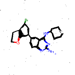 Nc1nc(NC2CCCCC2)c2cc(-c3cc(Br)cc4c3OCC4)ccc2n1